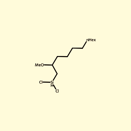 CCCCCCCCCCC(C[SiH](Cl)Cl)OC